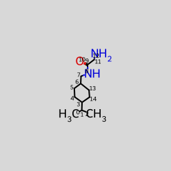 CC(C)C1CCC(CNC(=O)CN)CC1